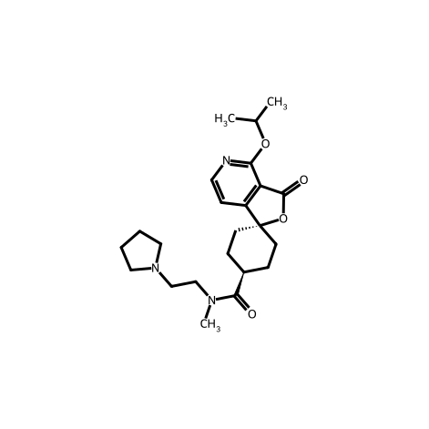 CC(C)Oc1nccc2c1C(=O)O[C@]21CC[C@H](C(=O)N(C)CCN2CCCC2)CC1